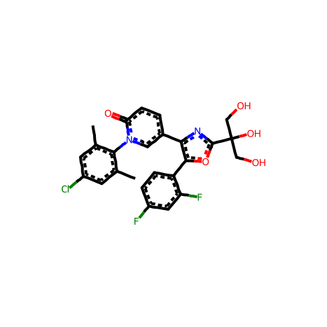 Cc1cc(Cl)cc(C)c1-n1cc(-c2nc(C(O)(CO)CO)oc2-c2ccc(F)cc2F)ccc1=O